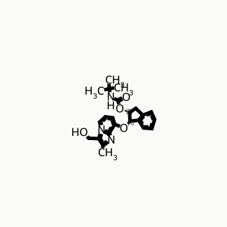 Cc1nc2c(O[C@@H]3c4ccccc4C[C@H]3OC(=O)NC(C)(C)C)cccn2c1CO